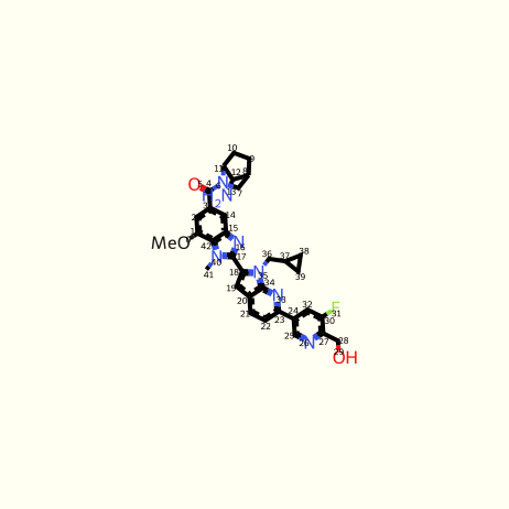 COc1cc(C(=O)N2CC3CCC2C3N)cc2nc(-c3cc4ccc(-c5cnc(CO)c(F)c5)nc4n3CC3CC3)n(C)c12